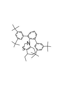 CCC1CCCC2=C1SCN2c1c(-c2cc(C(C)(C)C)cc(C(C)(C)C)c2)cccc1-c1cc(C(C)(C)C)cc(C(C)(C)C)c1